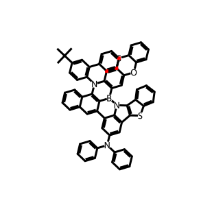 CC(C)(C)c1ccc(N2c3cc4c(cc3B3c5c(cc6ccccc6c52)-c2cc(N(c5ccccc5)c5ccccc5)cc5c6sc7ccccc7c6n3c25)Oc2ccccc2S4)c(-c2ccccc2)c1